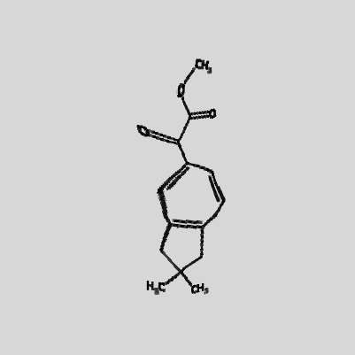 COC(=O)C(=O)c1ccc2c(c1)CC(C)(C)C2